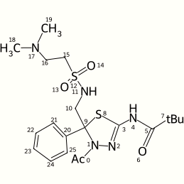 CC(=O)N1N=C(NC(=O)C(C)(C)C)SC1(CNS(=O)(=O)CCN(C)C)c1ccccc1